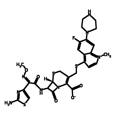 CO/N=C(\C(=O)NC1C(=O)N2C(C(=O)[O-])=C(CSc3cc[n+](C)c4cc(N5CCNCC5)c(F)cc34)CS[C@@H]12)c1csc(N)n1